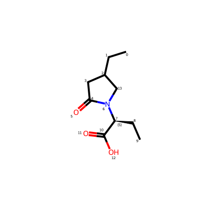 CCC1CC(=O)N([C@@H](CC)C(=O)O)C1